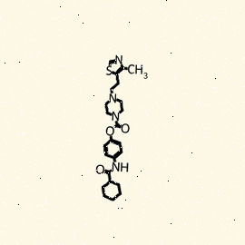 Cc1ncsc1CCN1CCN(C(=O)Oc2ccc(NC(=O)C3CCCCC3)cc2)CC1